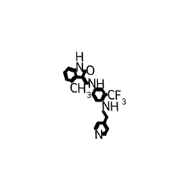 Cc1cccc2c1C(=CNc1ccc(NCCc3ccncc3)c(C(F)(F)F)c1)C(=O)N2